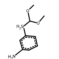 COC(OC)[SiH2]c1cccc(N)c1